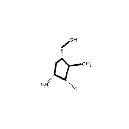 C[C@@H]1[C@@H](CO)C[C@@H](N)[C@H]1F